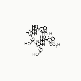 Cc1nc(NNC(=O)[C@@H](CNC(=O)O)CC2CCCC2)c(F)c(N2CC[C@H](CO)C2)n1.Cc1nc(NNC(=O)[C@@H](CNC(=O)O)CC2CCCC2)c(F)c(N2CC[C@H](CO)C2)n1